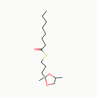 CCCCCCCC(=O)SCCC[Si]1(C)OCC(C)O1